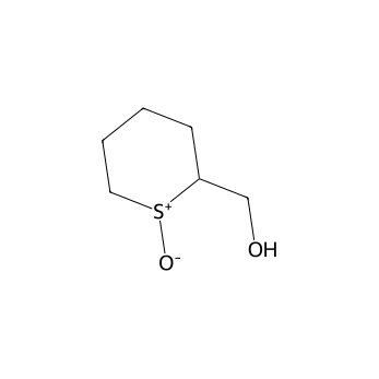 [O-][S+]1CCCCC1CO